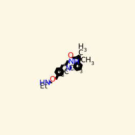 CCNCOCc1ccc(C[C@@H](CNC(=O)C2=C(C)C2(C)c2ccccc2)N(C)C)cc1